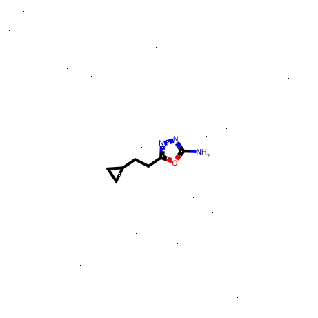 Nc1nnc(CCC2CC2)o1